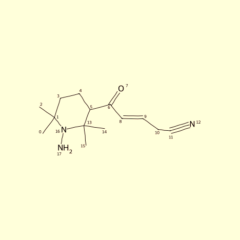 CC1(C)CCC(C(=O)C=CCC#N)C(C)(C)N1N